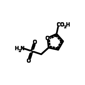 NS(=O)(=O)Cc1ccc(C(=O)O)o1